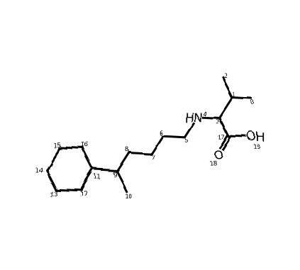 CC(C)C(NCCCCC(C)C1CCCCC1)C(=O)O